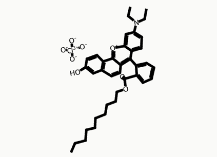 CCCCCCCCCCOC(=O)c1ccccc1-c1c2ccc(N(CC)CC)cc2[o+]c2c1ccc1cc(O)ccc12.[O-][Cl+3]([O-])([O-])[O-]